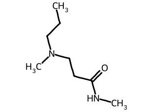 CCCN(C)CCC(=O)NC